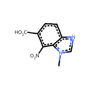 Cn1cnc2ccc(C(=O)O)c([N+](=O)[O-])c21